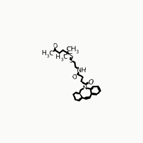 CC(=O)CCC(C)(C)SSCCNC(=O)CCC(=O)N1Cc2ccccc2C#Cc2ccccc21